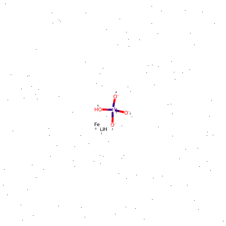 [Fe].[LiH].[O-][I+3]([O-])([O-])O